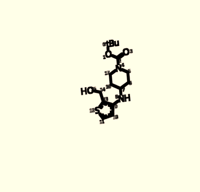 CC(C)(C)OC(=O)N1CCC(Nc2ccsc2CO)CC1